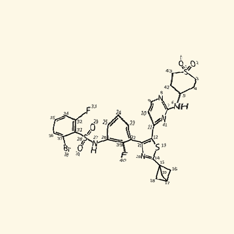 O=S1(=O)CCC(Nc2nccc(-c3sc(C45CC(C4)C5)nc3-c3cccc(NS(=O)(=O)c4c(F)cccc4Br)c3F)n2)CC1